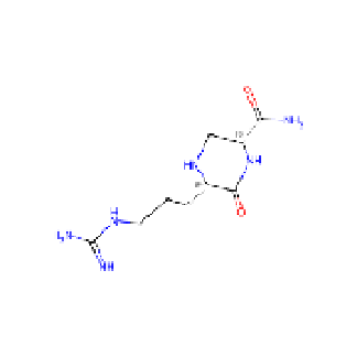 N=C(N)NCCC[C@@H]1NC[C@H](C(N)=O)NC1=O